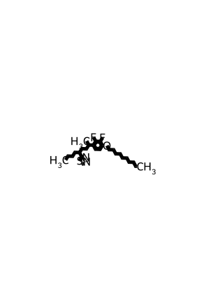 CCCCCCCCCCOc1ccc(C(C)CCC(CCCC)c2nncs2)c(F)c1F